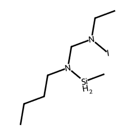 CCCCN(CN(I)CC)[SiH2]C